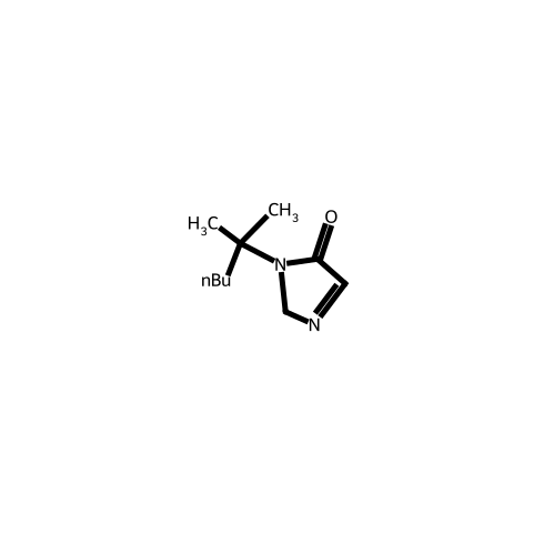 CCCCC(C)(C)N1CN=CC1=O